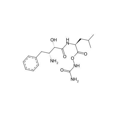 CC(C)C[C@H](NC(=O)[C@@H](O)[C@H](N)Cc1ccccc1)C(=O)ONC(N)=O